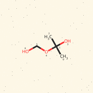 CC(C)(O)OCO